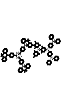 Cc1cc(C)c(B(c2c(C)cc(N(c3ccc(N(c4ccccc4)c4ccccc4)cc3)c3ccc(N(c4ccccc4)c4ccccc4)cc3)cc2C)c2c(C)cc(C)c(-c3ccc4c(c3)C(C)(C)c3ccccc3N4c3ccc(-c4nc(-c5ccc(C6c7ccccc7C(C)(C)c7ccccc76)cc5)nc(-c5ccc(N6c7ccccc7C(C)(C)c7ccccc76)cc5)n4)cc3)c2C)c(C)c1